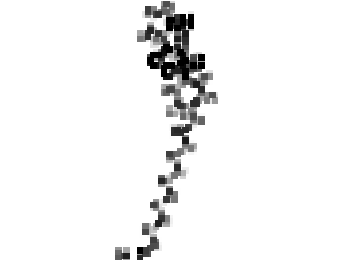 CCCCCCCCCCCCc1ccc(S(=O)(=O)NC(=O)[C@H]2CCCN2)cc1